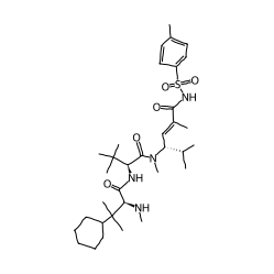 CN[C@H](C(=O)N[C@H](C(=O)N(C)[C@H](/C=C(\C)C(=O)NS(=O)(=O)c1ccc(C)cc1)C(C)C)C(C)(C)C)C(C)(C)C1CCCCC1